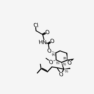 CO[C@@H]1[C@H](OC(=O)NC(=O)CCl)CC[C@]2(CO2)[C@H]1[C@]1(C)OC1CC=C(C)C